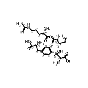 CC[C@H](C)[C@H](N)C(=O)OC(=O)[C@@H](N)CCCNC(=N)N.C[C@@H](O)[C@H](N)C(=O)O.N[C@@H](Cc1ccccc1)C(=O)O